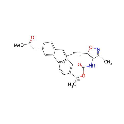 COC(=O)Cc1ccc2cc(C#Cc3onc(C)c3NC(=O)O[C@H](C)c3ccccc3)ccc2c1